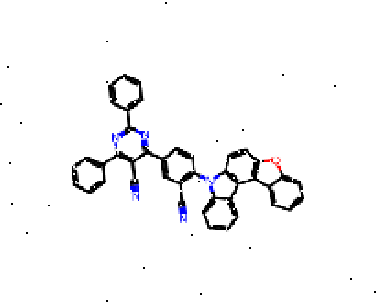 N#Cc1cc(-c2nc(-c3ccccc3)nc(-c3ccccc3)c2C#N)ccc1-n1c2ccccc2c2c3c(ccc21)oc1ccccc13